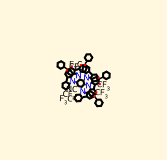 N#Cc1c(-n2c3cc(C(F)(F)F)ccc3c3ccc(C(F)(F)F)cc32)c(-n2c3ccc(-c4ccccc4)cc3c3cc(-c4ccccc4)ccc32)c(-n2c3cc(C(F)(F)F)ccc3c3ccc(C(F)(F)F)cc32)c(-n2c3ccc(-c4ccccc4)cc3c3cc(-c4ccccc4)ccc32)c1-n1c2cc(C(F)(F)F)ccc2c2ccc(C(F)(F)F)cc21